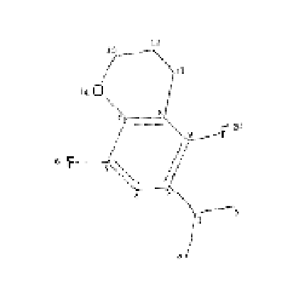 CC(C)c1cc(F)c2c(c1F)CCCO2